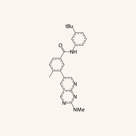 CNc1ncc2cc(-c3cc(C(=O)Nc4cccc(C(C)(C)C)c4)ccc3C)cnc2n1